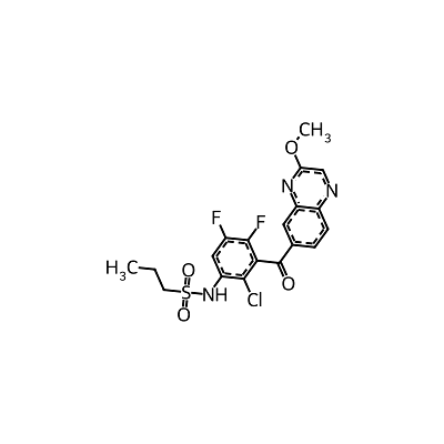 CCCS(=O)(=O)Nc1cc(F)c(F)c(C(=O)c2ccc3ncc(OC)nc3c2)c1Cl